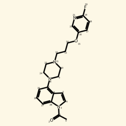 CC(=O)n1ccc2c(N3CCN(CCCOc4ccc(F)nc4)CC3)cccc21